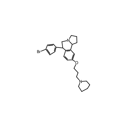 Brc1ccc(C2CN3CCCC3c3cc(OCCCN4CCCCC4)ccc32)cc1